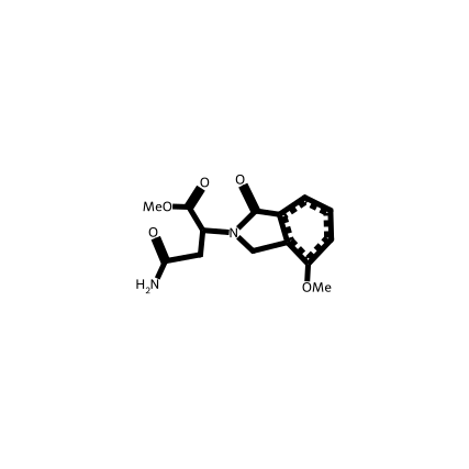 COC(=O)C(CC(N)=O)N1Cc2c(OC)cccc2C1=O